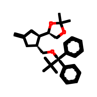 C=C1C[C@@H](CO[Si](c2ccccc2)(c2ccccc2)C(C)(C)C)[C@H]([C@H]2COC(C)(C)O2)C1